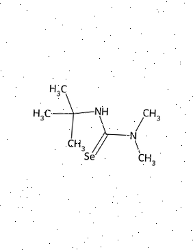 CN(C)C(=[Se])NC(C)(C)C